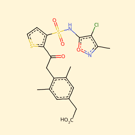 Cc1cc(CC(=O)O)cc(C)c1CC(=O)c1sccc1S(=O)(=O)Nc1onc(C)c1Cl